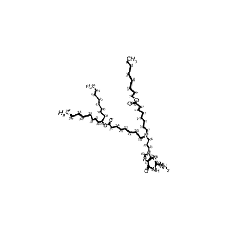 CCCCCCCCOC(=O)CCCCCCCN(CCCCCCCC(=O)OC(CCCCCCCC)CCCCCCCC)CCCn1cnc2c(=O)[nH]c(N)nc21